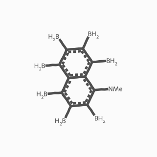 Bc1c(B)c(B)c2c(NC)c(B)c(B)c(B)c2c1B